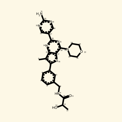 Cc1c(-c2cccc(CNC(=O)C(C)O)c2)sc2c(N3CCOCC3)nc(-c3cnc(N)nc3)nc12